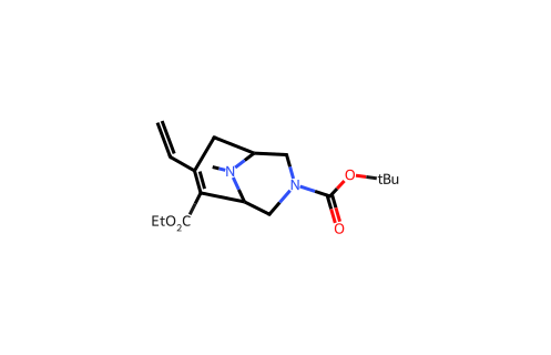 C=CC1=C(C(=O)OCC)C2CN(C(=O)OC(C)(C)C)CC(C1)N2C